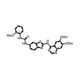 COc1ccccc1NC(=O)Nc1ccc2nc(Nc3ncnc4cc(OC)c(OC)cc34)sc2c1